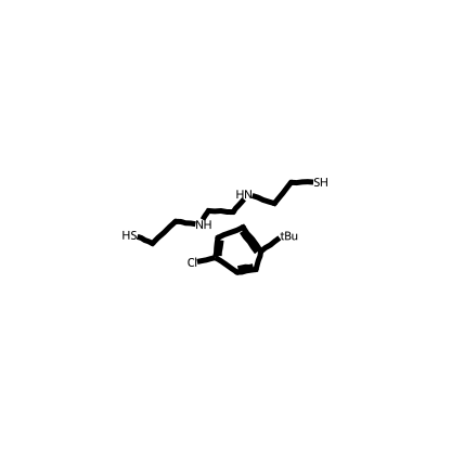 CC(C)(C)c1ccc(Cl)cc1.SCCNCCNCCS